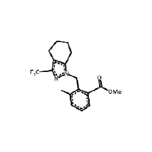 COC(=O)c1cccc(C)c1Cn1nc(C(F)(F)F)c2c1CCCC2